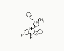 CN1CCN(C2=Nc3ccc(F)cc3Nc3sc4ccccc4c32)CC1CCc1ccccc1